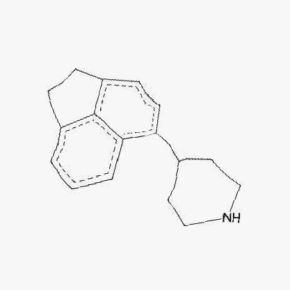 c1cc2c3c(ccc(C4CCNCC4)c3c1)CC2